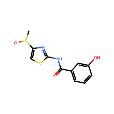 C[S+]([O-])c1csc(NC(=O)c2cccc(O)c2)n1